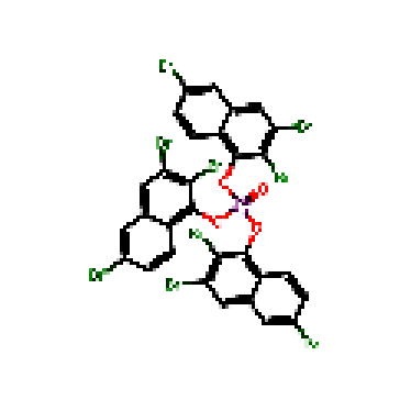 O=P(Oc1c(Br)c(Br)cc2cc(Br)ccc12)(Oc1c(Br)c(Br)cc2cc(Br)ccc12)Oc1c(Br)c(Br)cc2cc(Br)ccc12